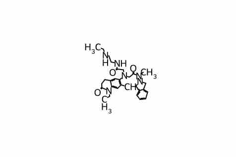 CCNCCNC(=O)CN(CC(=O)N(C)N1Cc2ccccc2C1)c1cc2c(cc1C)N(CC)C(=O)CC2